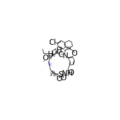 CCC[C@@]1(OC)/C=C/C[C@H](C)[C@@H](C)S(=O)(=O)NC(=O)c2ccc3c(c2)N(C[C@@H]2CC[C@H]21)C[C@@]1(CCCc2cc(Cl)ccc21)CO3